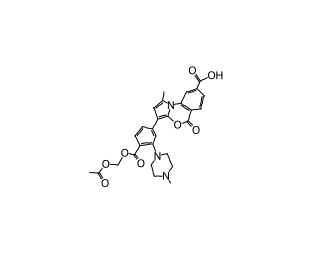 CC(=O)OCOC(=O)c1ccc(-c2cc(C)n3c2oc(=O)c2ccc(C(=O)O)cc23)cc1N1CCN(C)CC1